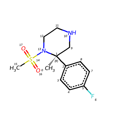 C[C@@]1(c2ccc(F)cc2)CNCCN1S(C)(=O)=O